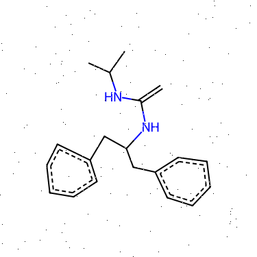 C=C(NC(C)C)NC(Cc1ccccc1)Cc1ccccc1